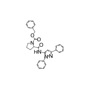 O=C(Nc1cc(-c2ccccc2)nn1-c1ccccc1)C1CCCN1C(=O)OCc1ccccc1